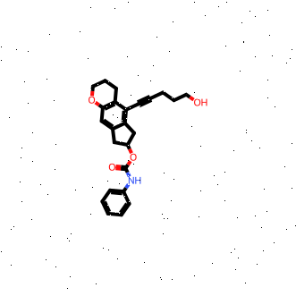 O=C(Nc1ccccc1)OC1Cc2cc3c(c(C#CCCCO)c2C1)CCCO3